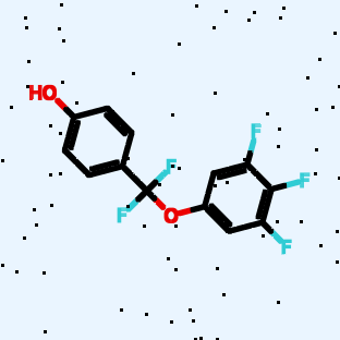 Oc1ccc(C(F)(F)Oc2cc(F)c(F)c(F)c2)cc1